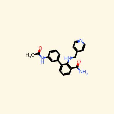 CC(=O)Nc1cccc(-c2cccc(C(N)=O)c2NCc2ccncc2)c1